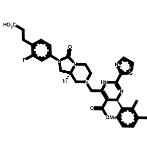 COC(=O)C1=C(CN2CCN3C(=O)N(c4ccc(CCC(=O)O)c(F)c4)C[C@@H]3C2)NC(c2nccs2)=N[C@H]1c1cccc(F)c1C